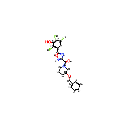 O=C(c1noc(-c2cc(F)c(F)c(O)c2F)n1)N1CCCC(OCc2ccccc2)C1